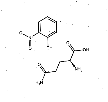 NC(=O)CC[C@H](N)C(=O)O.O=[N+]([O-])c1ccccc1O